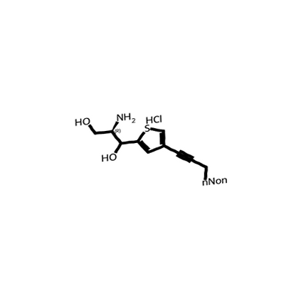 CCCCCCCCCCC#Cc1csc(C(O)[C@H](N)CO)c1.Cl